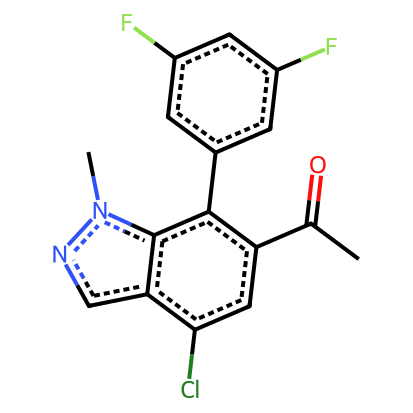 CC(=O)c1cc(Cl)c2cnn(C)c2c1-c1cc(F)cc(F)c1